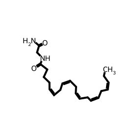 CC/C=C\C/C=C\C/C=C\C/C=C\C/C=C\CCCC(=O)NCC(N)=O